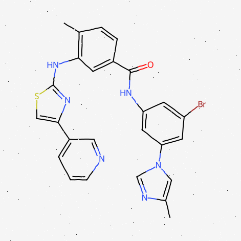 Cc1cn(-c2cc(Br)cc(NC(=O)c3ccc(C)c(Nc4nc(-c5cccnc5)cs4)c3)c2)cn1